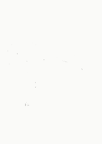 CC(C)(C)c1cc(OCCC(F)(F)F)cc(C(=O)CBr)c1